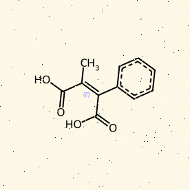 C/C(C(=O)O)=C(/C(=O)O)c1ccccc1